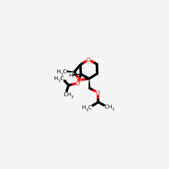 CC(C)OC[C@@]12CCOC([C@H](C)O1)[C@H]2OC(C)C